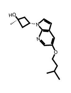 CC(C)CCOc1cnc2c(ccn2[C@H]2C[C@](C)(O)C2)c1